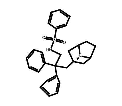 CN1C2CCC1CC(CC(CNS(=O)(=O)c1ccccc1)(c1ccccc1)c1ccccc1)C2